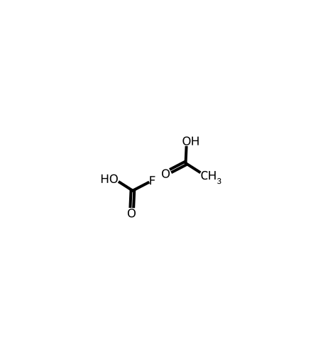 CC(=O)O.O=C(O)F